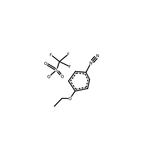 CCOc1ccc([N+]#N)cc1.O=S(=O)([O-])C(F)(F)F